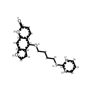 O=c1ccc2c(OCCCCSc3ncccn3)c3ccoc3cc2o1